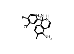 Cc1ccc2c(c1N)C=CNC2(N)c1ccc(F)c(Cl)c1